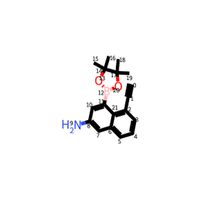 C#Cc1cccc2cc(N)cc(B3OC(C)(C)C(C)(C)O3)c12